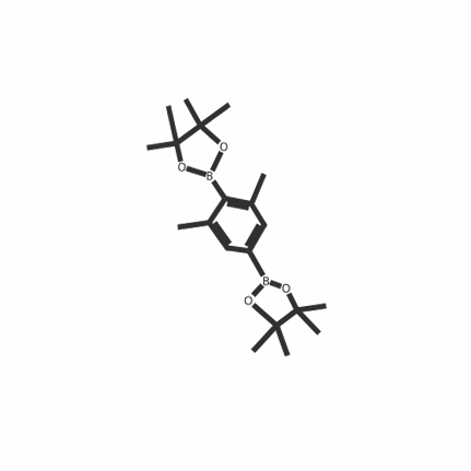 Cc1cc(B2OC(C)(C)C(C)(C)O2)cc(C)c1B1OC(C)(C)C(C)(C)O1